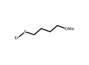 [CH2-][CH+]SCCCC[OH+][CH2-]